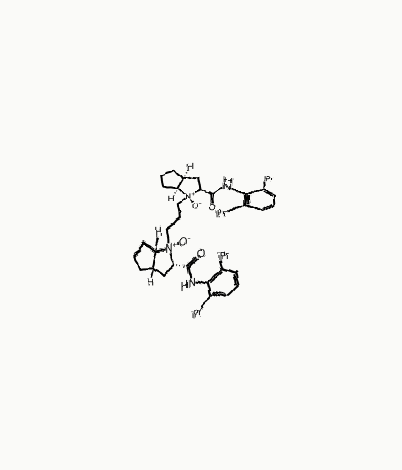 CC(C)c1cccc(C(C)C)c1NC(=O)[C@@H]1C[C@@H]2CCC[C@@H]2[N@@+]1([O-])CCC[N@@+]1([O-])[C@H](C(=O)Nc2c(C(C)C)cccc2C(C)C)C[C@@H]2CCC[C@@H]21